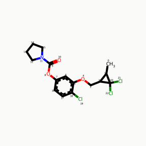 CC1C(COc2cc(OC(=O)N3CCCC3)ccc2Cl)C1(Cl)Cl